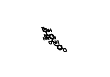 O=C(NCc1ccc(Cl)cc1)c1nccc2c(-c3cnc[nH]3)n[nH]c12